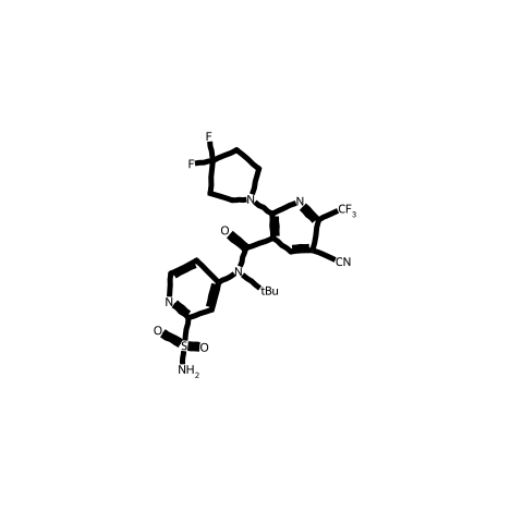 CC(C)(C)N(C(=O)c1cc(C#N)c(C(F)(F)F)nc1N1CCC(F)(F)CC1)c1ccnc(S(N)(=O)=O)c1